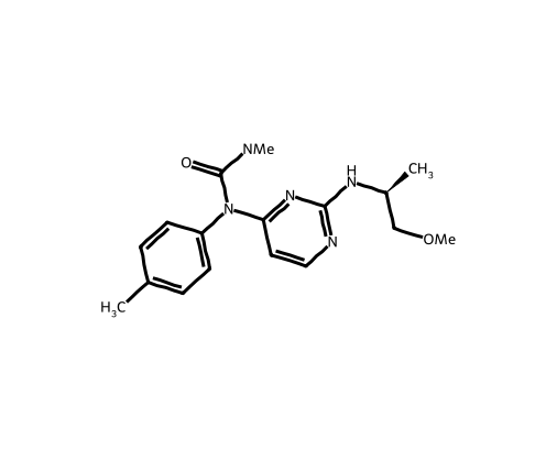 CNC(=O)N(c1ccc(C)cc1)c1ccnc(N[C@@H](C)COC)n1